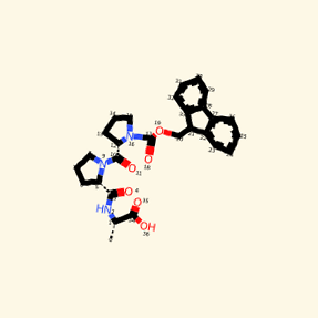 C[C@H](NC(=O)[C@@H]1CCCN1C(=O)[C@@H]1CCCN1C(=O)OCC1c2ccccc2-c2ccccc21)C(=O)O